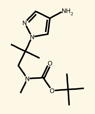 CN(CC(C)(C)n1cc(N)cn1)C(=O)OC(C)(C)C